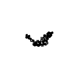 Cc1ccc(S(=O)(=O)N[C@@H]2COCC[C@H]2Oc2nc3c(ccn3COCC[Si](C)(C)C)cc2Br)cc1